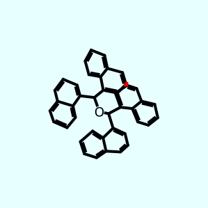 c1ccc2c(C(OC(c3cccc4ccccc34)c3cccc4ccccc34)c3cccc4ccccc34)cccc2c1